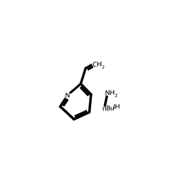 C=Cc1ccccn1.CCCCN.I